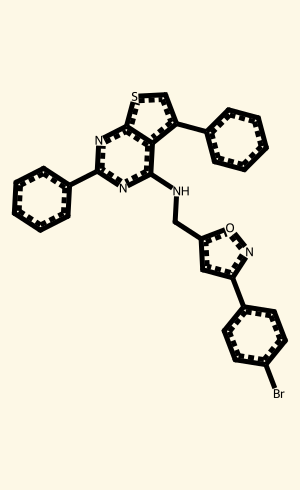 Brc1ccc(-c2cc(CNc3nc(-c4ccccc4)nc4scc(-c5ccccc5)c34)on2)cc1